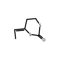 C/C=C1/CCSC(=O)S1